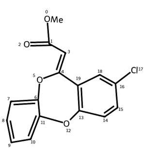 COC(=O)C=C1Oc2ccccc2Oc2ccc(Cl)cc21